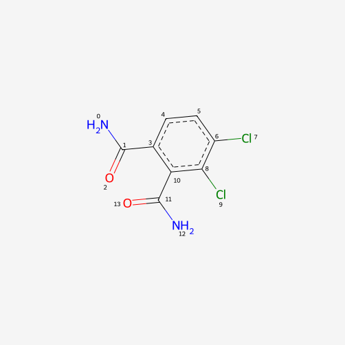 NC(=O)c1ccc(Cl)c(Cl)c1C(N)=O